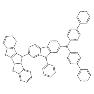 C1=CC(c2ccc(N(c3ccc(-c4ccccc4)cc3)c3ccc4c5ccc(N6c7c(sc8c7CCC=C8)C7Sc8ccccc8C76)cc5n(-c5ccccc5)c4c3)cc2)=CCC1